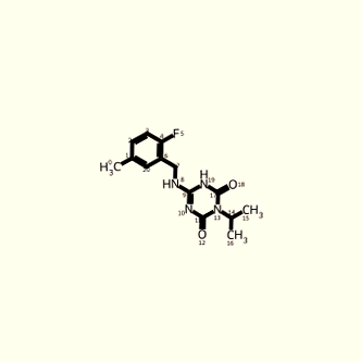 Cc1ccc(F)c(CNc2nc(=O)n(C(C)C)c(=O)[nH]2)c1